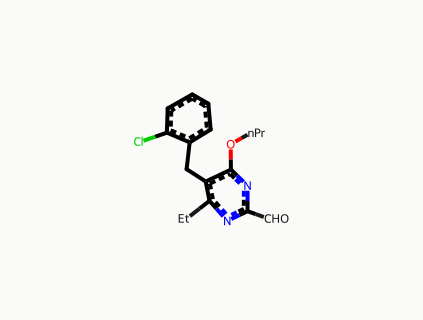 CCCOc1nc(C=O)nc(CC)c1Cc1ccccc1Cl